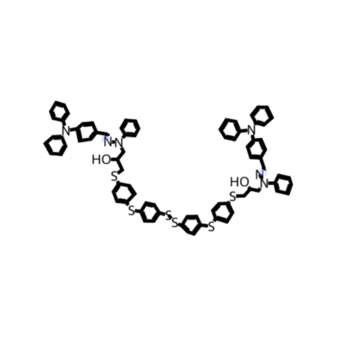 OC(CSc1ccc(Sc2ccc(SSc3ccc(Sc4ccc(SCC(O)CN(/N=C/c5ccc(N(c6ccccc6)c6ccccc6)cc5)c5ccccc5)cc4)cc3)cc2)cc1)CN(/N=C/c1ccc(N(c2ccccc2)c2ccccc2)cc1)c1ccccc1